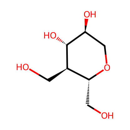 OC[C@H]1[C@H](O)[C@@H](O)CO[C@@H]1CO